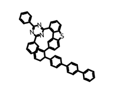 C1=CCC(c2ccc(-c3ccc(-c4ccccc4)cc3)cc2)C(c2ccc3sc4cccc(-c5nc(-c6ccccc6)nc(-c6ccccc6)n5)c4c3c2)=C1